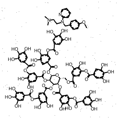 COc1ccc(CN(CCN(C)C)c2ccccn2)cc1.O=C(OC[C@H]1O[C@@H](OC(=O)c2cc(O)c(O)c(OC(=O)c3cc(O)c(O)c(O)c3)c2)[C@H](OC(=O)c2cc(O)c(O)c(OC(=O)c3cc(O)c(O)c(O)c3)c2)[C@@H](OC(=O)c2cc(O)c(O)c(OC(=O)c3cc(O)c(O)c(O)c3)c2)[C@@H]1OC(=O)c1cc(O)c(O)c(OC(=O)c2cc(O)c(O)c(O)c2)c1)c1cc(O)c(O)c(OC(=O)c2cc(O)c(O)c(O)c2)c1